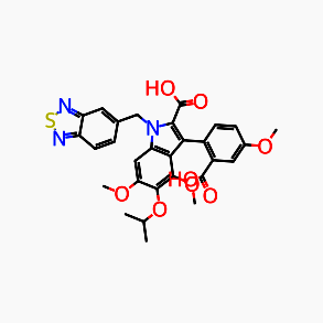 COc1ccc(-c2c(C(=O)O)n(Cc3ccc4nsnc4c3)c3cc(OC)c(OC(C)C)c(OC)c23)c(C(=O)O)c1